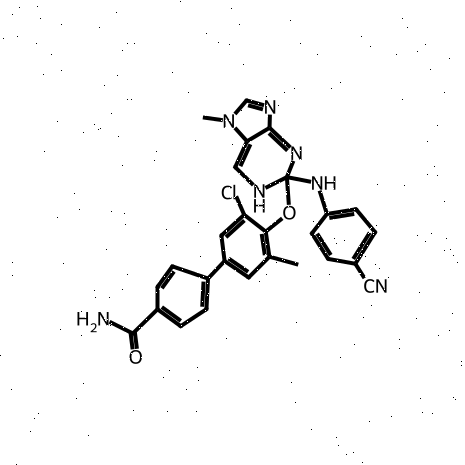 Cc1cc(-c2ccc(C(N)=O)cc2)cc(Cl)c1OC1(Nc2ccc(C#N)cc2)N=c2ncn(C)c2=CN1